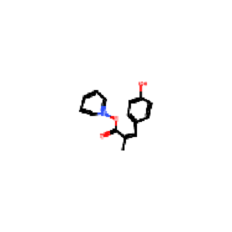 CC(=Cc1ccc(O)cc1)C(=O)O[n+]1ccccc1